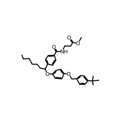 CCCCCCC(Oc1ccc(OCc2ccc(C(C)(C)C)cc2)cc1)c1ccc(C(=O)NCCC(=O)OC)cc1